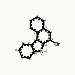 Brc1cc2ccccc2c2c1[nH]c1ccccc12